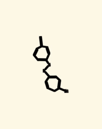 C=C1C=CC=C(SSC2=CC=C(CC)CC=C2)C=C1